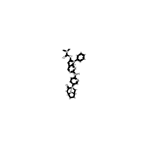 CN(C)C(=O)Oc1cc2cnc(Nc3ccc(N4CC5CCC(CC4=O)N5)cn3)nc2n1-c1ccccc1